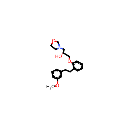 COc1cccc(CCc2ccccc2OC[C@H](O)CN2CCOC2)c1